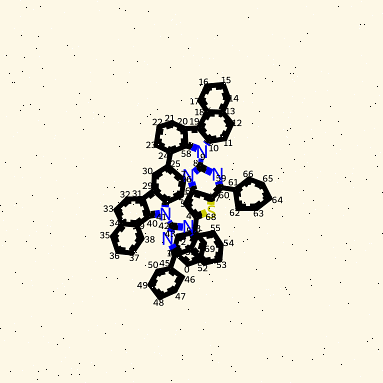 c1ccc(-c2cc3nc(-n4c5ccc6ccccc6c5c5cccc(-c6ccc7c(c6)c6ccc8ccccc8c6n7-c6nc(-c7ccccc7)c7ccccc7n6)c54)nc(-c4ccccc4)c3s2)cc1